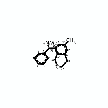 CN[C@H](c1ccccc1)c1cc(C)cc2c1COCC2